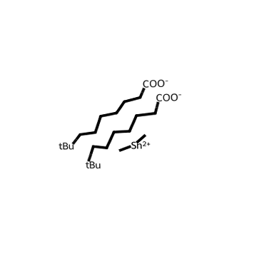 CC(C)(C)CCCCCCC(=O)[O-].CC(C)(C)CCCCCCC(=O)[O-].[CH3][Sn+2][CH3]